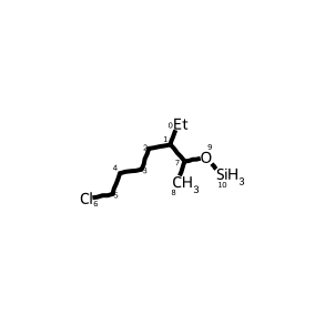 CCC(CCCCCl)C(C)O[SiH3]